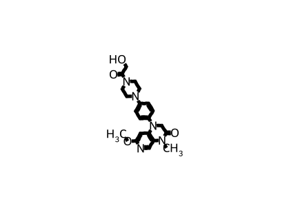 COc1cc2c(cn1)N(C)C(=O)CN2c1ccc(N2CCN(C(=O)CO)CC2)cc1